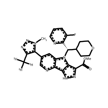 [2H]C([2H])([2H])c1nnn(C)c1-c1cnc2c3[nH]nc(C(=O)OC)c3n([C@H](c3ncccc3F)C3CCOCC3)c2c1